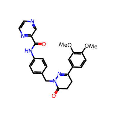 COc1ccc(C2=NN(Cc3ccc(NC(=O)c4cnccn4)cc3)C(=O)CC2)cc1OC